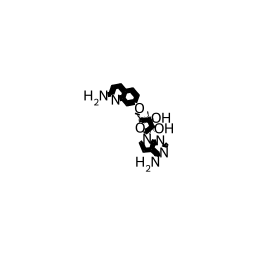 C[C@@]1(O)[C@@H](COc2ccc3ccc(N)nc3c2)O[C@@H](N2CCc3c(N)ncnc32)[C@@H]1O